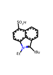 CC[N+]1=C(C(C)(C)C)c2cccc3c(S(=O)(=O)O)ccc1c23